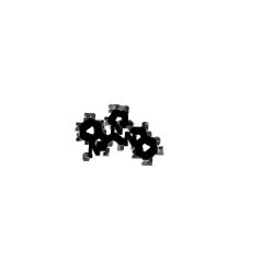 Cn1cc(C(Cn2ccc3ccccc32)N2CCCC2)c2ccccc21